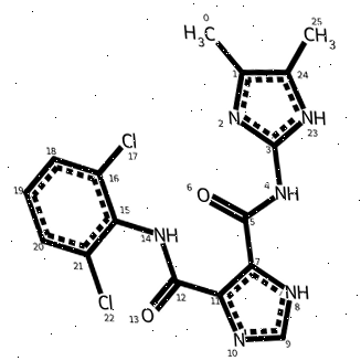 Cc1nc(NC(=O)c2[nH]cnc2C(=O)Nc2c(Cl)cccc2Cl)[nH]c1C